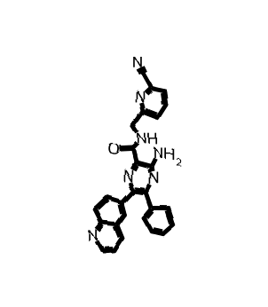 N#Cc1cccc(CNC(=O)c2nc(-c3ccc4ncccc4c3)c(-c3ccccc3)nc2N)n1